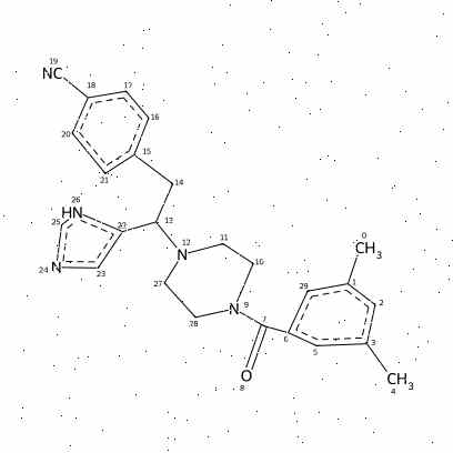 Cc1cc(C)cc(C(=O)N2CCN(C(Cc3ccc(C#N)cc3)c3cnc[nH]3)CC2)c1